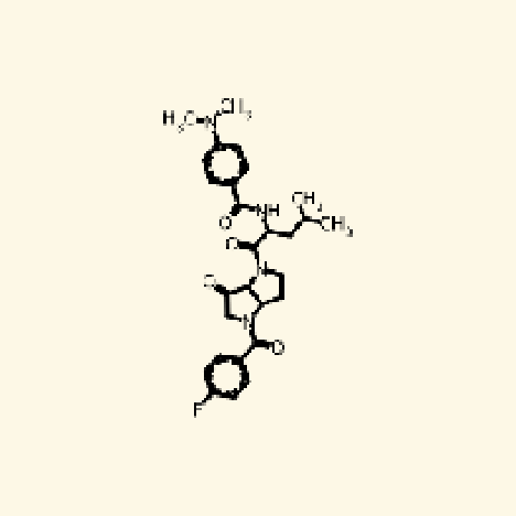 CC(C)CC(NC(=O)c1ccc(N(C)C)cc1)C(=O)N1CCC2C1C(=O)CN2C(=O)c1ccc(F)cc1